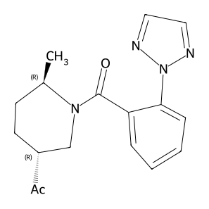 CC(=O)[C@@H]1CC[C@@H](C)N(C(=O)c2ccccc2-n2nccn2)C1